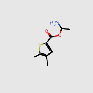 Cc1cc(C(=O)OC(C)N)sc1C